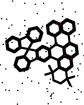 CC1(C)CCC(C)(C)c2c(-c3cc4c(cc3N(c3ccccc3)c3ccccc3-c3ccccc3)C3(c5ccccc5-c5ccccc53)c3ccccc3-4)cccc21